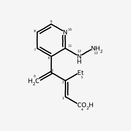 C=C(/C(=C/C(=O)O)CC)c1cccnc1NN